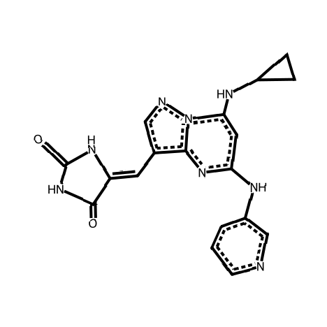 O=C1NC(=O)/C(=C/c2cnn3c(NC4CC4)cc(Nc4cccnc4)nc23)N1